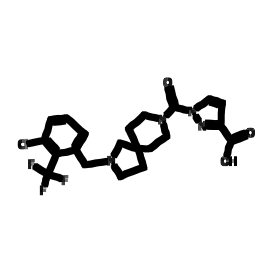 O=C(O)c1ccn(C(=O)N2CCC3(CCN(Cc4cccc(Cl)c4C(F)(F)F)C3)CC2)n1